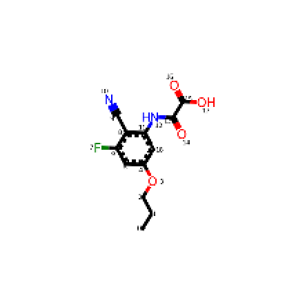 CCCOc1cc(F)c(C#N)c(NC(=O)C(=O)O)c1